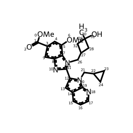 COC(=O)c1cc(OC)c2c(c1)nc(-c1cc3cccnc3n1CC1CC1)n2CC1CC(C)(O)C1